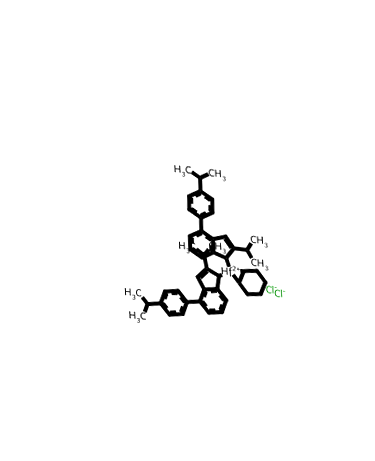 CC(C)C1=Cc2c(-c3ccc(C(C)C)cc3)cccc2[CH]1[Hf+2]1([CH]2C(C(C)C)=Cc3c(-c4ccc(C(C)C)cc4)cccc32)[CH]2CCCC[CH]21.[Cl-].[Cl-]